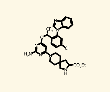 CCOC(=O)C1CC2(CCN(c3cc(O[C@H](c4ccc(Cl)cc4-n4cnc5ccccc54)C(F)(F)F)nc(N)n3)CC2)CN1